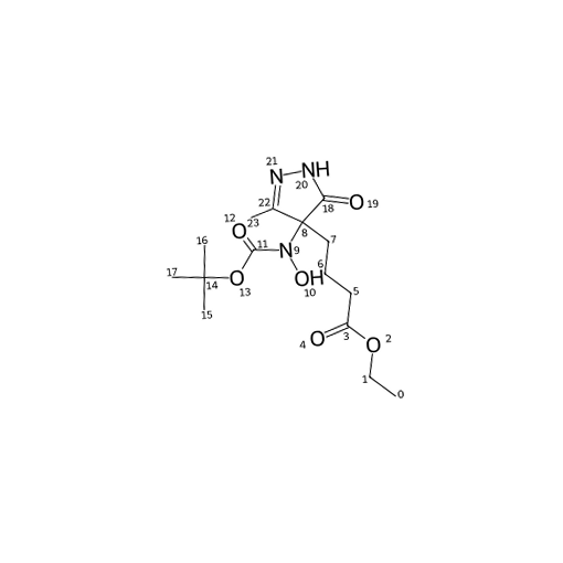 CCOC(=O)CCCC1(N(O)C(=O)OC(C)(C)C)C(=O)NN=C1C